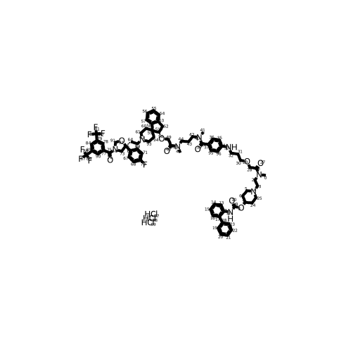 CN(CCN1CCC(OC(=O)Nc2ccccc2-c2ccccc2)CC1)C(=O)COCCCNc1ccc(C(=O)N(C)CCCN(C)C(=O)CO[C@H]2Cc3ccccc3C23CCN(CC[C@]2(c4ccc(F)cc4)CN(C(=O)c4cc(C(F)(F)F)cc(C(F)(F)F)c4)CO2)CC3)cc1.Cl.Cl.Cl